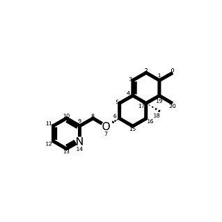 CC1CC=C2C[C@@H](OCc3ccccn3)CC[C@]2(C)C1C